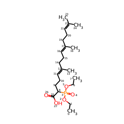 CCOP(=O)(OCC)C(CC/C=C(\C)CC/C=C(\C)CCC=C(C)C)C(=O)O